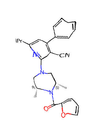 CC(C)c1cc(-c2ccccc2)c(C#N)c(N2C[C@@H](C)N(C(=O)c3ccco3)[C@@H](C)C2)n1